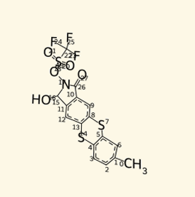 Cc1ccc2c(c1)Sc1cc3c(cc1S2)C(O)N(OS(=O)(=O)C(F)(F)F)C3=O